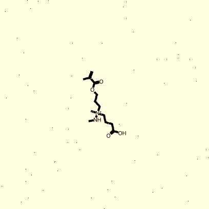 C=C(C)C(=O)OCCC[N+](C)(CCCC(=O)O)NC